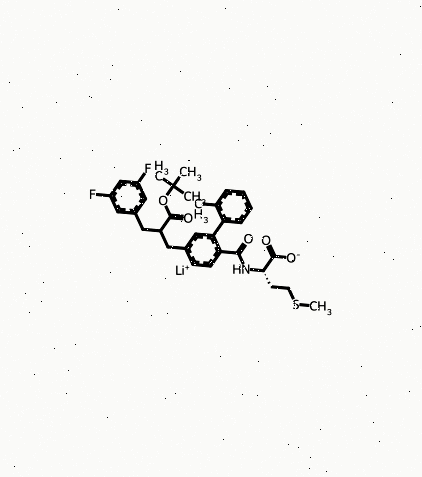 CSCC[C@H](NC(=O)c1ccc(CC(Cc2cc(F)cc(F)c2)C(=O)OC(C)(C)C)cc1-c1ccccc1C)C(=O)[O-].[Li+]